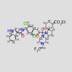 CCOC(=O)C1CCC(OC(C(=O)Cc2cc(Cl)c(NC(=O)c3c[nH]c4ccccc34)cc2Cl)(N2CCCC2)N2CCN(CC(F)(F)F)CC2)CC1